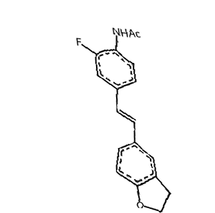 CC(=O)Nc1ccc(/C=C/c2ccc3c(c2)CCO3)cc1F